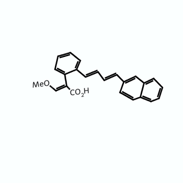 CO/C=C(/C(=O)O)c1ccccc1/C=C/C=C/c1ccc2ccccc2c1